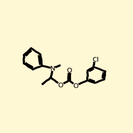 CC(OC(=O)Oc1cccc(Cl)c1)N(C)c1ccccc1